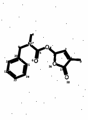 CC1=CC(OC(=O)N(C)Cc2ccccc2)OC1=O